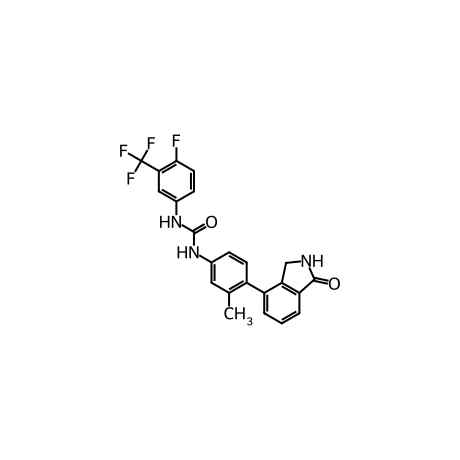 Cc1cc(NC(=O)Nc2ccc(F)c(C(F)(F)F)c2)ccc1-c1cccc2c1CNC2=O